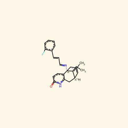 C/C=C1\[C@H]2C=C(C)C[C@]1(N=CC=Cc1ccccc1F)c1ccc(=O)[nH]c1C2